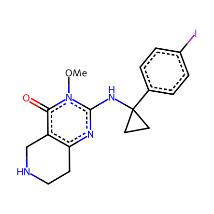 COn1c(NC2(c3ccc(I)cc3)CC2)nc2c(c1=O)CNCC2